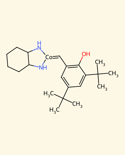 CC(C)(C)c1cc([CH]=[Co]2[NH]C3CCCCC3[NH]2)c(O)c(C(C)(C)C)c1